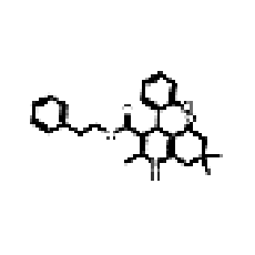 CC1=C(C(=O)OCCc2ccccc2)C(c2ccccc2Cl)C2=C(CC(C)(C)CC2=O)N1